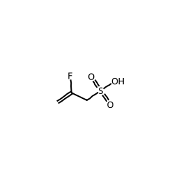 C=C(F)CS(=O)(=O)O